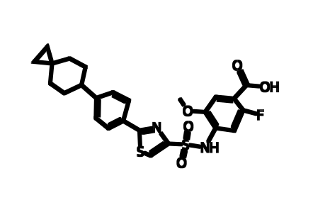 COc1cc(C(=O)O)c(F)cc1NS(=O)(=O)c1csc(-c2ccc(C3CCC4(CC3)CC4)cc2)n1